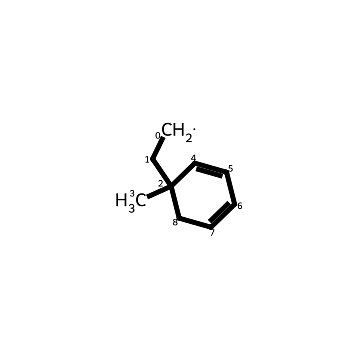 [CH2]CC1(C)C=CC=CC1